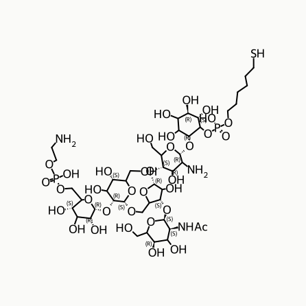 CC(=O)N[C@H]1C(O)[C@@H](O)C(CO)O[C@H]1O[C@@H]1C(CO[C@H]2OC(CO)[C@@H](O)C(O)[C@H]2O[C@H]2OC(COP(=O)(O)OCCN)[C@@H](O)C(O)[C@H]2O)O[C@H](O[C@@H]2C(CO)O[C@H](O[C@@H]3C(O)C(O)[C@@H](O)[C@H](O)C3OP(=O)(O)OCCCCCCS)C(N)[C@H]2O)C1O